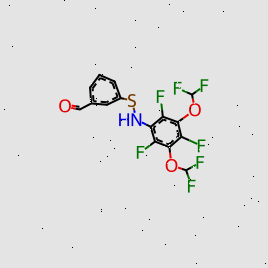 O=Cc1cccc(SNc2c(F)c(OC(F)F)c(F)c(OC(F)F)c2F)c1